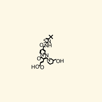 CC(C)(C)c1csc(NC(=O)c2ccn3c(=O)c(C=CC(=O)O)c(N4CCCC(CO)C4)nc3c2)n1